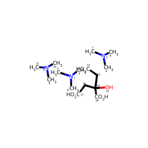 CN(C)C.CN(C)C.CN(C)C.O=C(O)CC(O)(CC(=O)O)C(=O)O